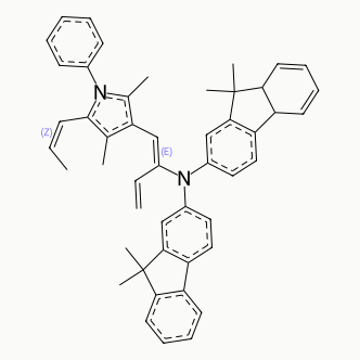 C=C/C(=C\c1c(C)c(/C=C\C)n(-c2ccccc2)c1C)N(c1ccc2c(c1)C(C)(C)c1ccccc1-2)c1ccc2c(c1)C(C)(C)C1C=CC=CC21